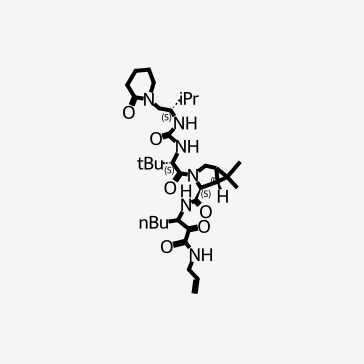 C=CCNC(=O)C(=O)C(CCCC)NC(=O)[C@@H]1[C@@H]2C(CN1C(=O)[C@@H](NC(=O)N[C@H](CN1CCCCC1=O)C(C)C)C(C)(C)C)C2(C)C